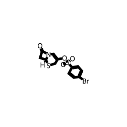 O=C1C[C@H]2SCC(OS(=O)(=O)c3ccc(Br)cc3)=CN12